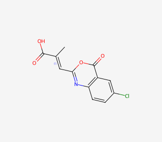 C/C(=C\c1nc2ccc(Cl)cc2c(=O)o1)C(=O)O